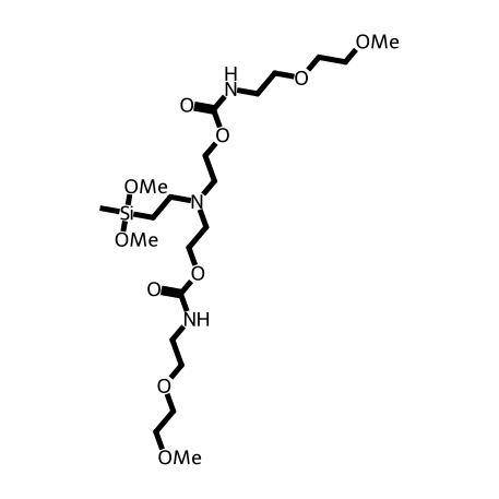 COCCOCCNC(=O)OCCN(CCOC(=O)NCCOCCOC)CC[Si](C)(OC)OC